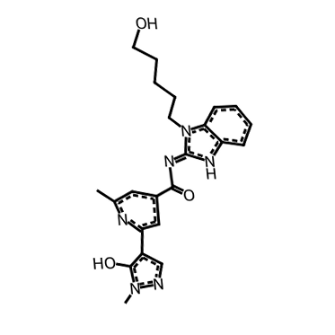 Cc1cc(C(=O)/N=c2\[nH]c3ccccc3n2CCCCCO)cc(-c2cnn(C)c2O)n1